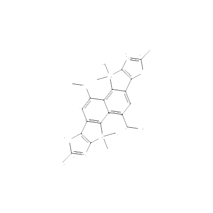 COc1cc2c(c3c(CO)cc4c(c13)[Si](C)(C)c1nc(C)sc1-4)[Si](C)(C)c1nc(C)sc1-2